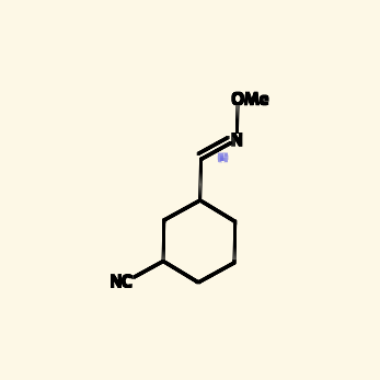 CO/N=C/C1CCCC(C#N)C1